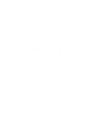 CCC(C)OC(=O)C(C(=O)c1c(Cl)cccc1Cl)c1ccccc1.O=[PH3]